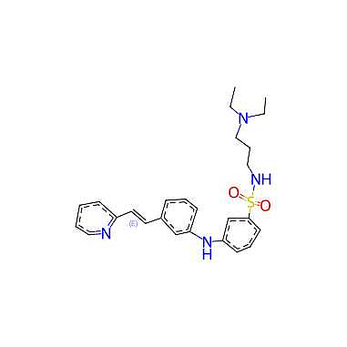 CCN(CC)CCCNS(=O)(=O)c1cccc(Nc2cccc(/C=C/c3ccccn3)c2)c1